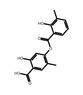 Cc1cc(C(=O)O)c(O)cc1OC(=O)c1cccc(C)c1O